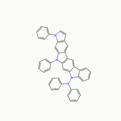 c1ccc(N(c2ccccc2)n2c3ccccc3c3cc4c5cc6ccn(-c7ccccc7)c6cc5n(-c5ccccc5)c4cc32)cc1